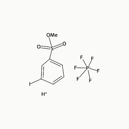 COS(=O)(=O)c1cccc(I)c1.F[P-](F)(F)(F)(F)F.[H+]